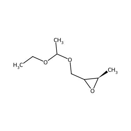 CCOC(C)OCC1O[C@@H]1C